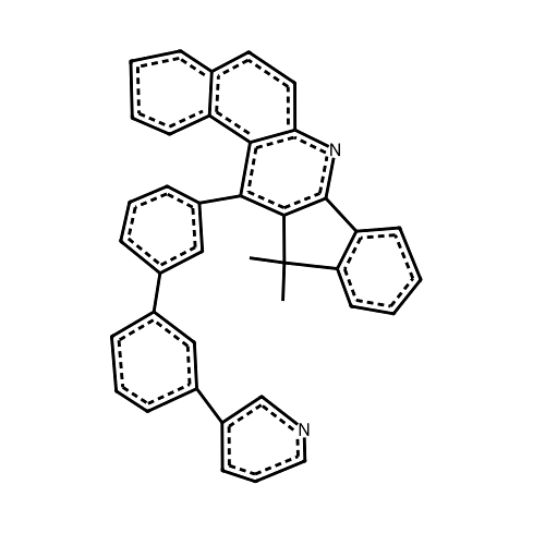 CC1(C)c2ccccc2-c2nc3ccc4ccccc4c3c(-c3cccc(-c4cccc(-c5cccnc5)c4)c3)c21